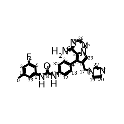 Cc1cc(F)cc(NC(=O)Nc2ccc(-c3c(Cn4ccnc4)cn4ncnc(N)c34)cc2)c1